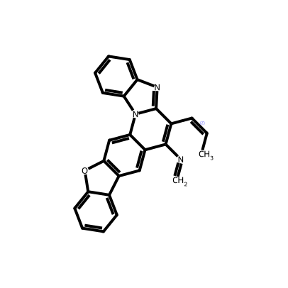 C=Nc1c(/C=C\C)c2nc3ccccc3n2c2cc3oc4ccccc4c3cc12